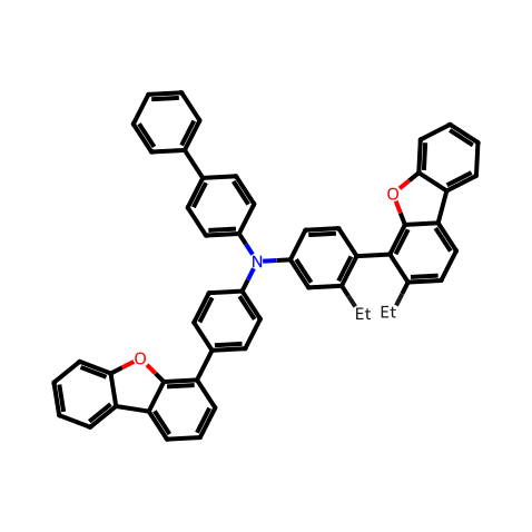 CCc1cc(N(c2ccc(-c3ccccc3)cc2)c2ccc(-c3cccc4c3oc3ccccc34)cc2)ccc1-c1c(CC)ccc2c1oc1ccccc12